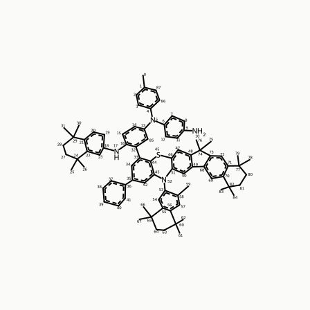 Cc1ccc(N(c2ccc(N)cc2)c2ccc(Nc3ccc4c(c3)C(C)(C)CCC4(C)C)c(-c3cc(-c4ccccc4)cc4c3Sc3cc5c(cc3N4c3cc4c(cc3C)C(C)(C)CCC4(C)C)-c3cc4c(cc3C5(C)C)C(C)(C)CCC4(C)C)c2)cc1